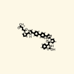 CC(=O)CCC(=O)N1CCCC1c1ncc(-c2ccc(-c3ccc(-c4cnc([C@@H]5CCCN5C(=O)[C@H](NC(=O)O)c5ccccc5)[nH]4)cc3)cc2)[nH]1